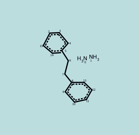 N.N.c1ccc(CCc2ccccc2)cc1